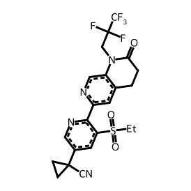 CCS(=O)(=O)c1cc(C2(C#N)CC2)cnc1-c1cc2c(cn1)N(CC(F)(F)C(F)(F)F)C(=O)CC2